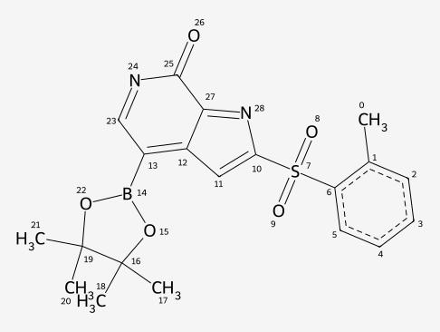 Cc1ccccc1S(=O)(=O)C1=CC2=C(B3OC(C)(C)C(C)(C)O3)C=NC(=O)C2=N1